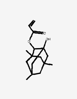 C=CC(=O)OC1C2(C)CC3(C)CC(C)(C2)CC1(O)C3